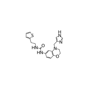 O=C(NCCc1cccs1)Nc1ccc2c(c1)N(Cc1c[nH]cn1)CCO2